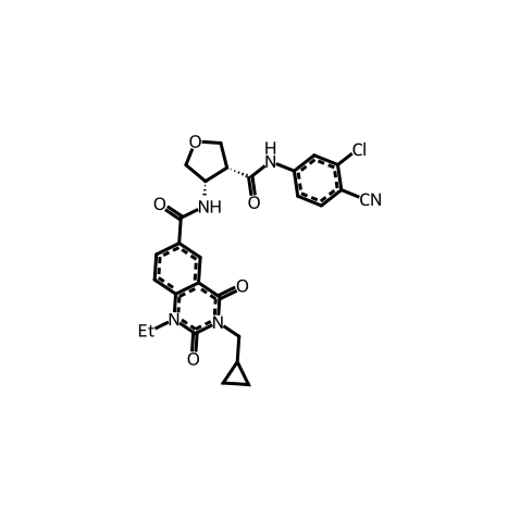 CCn1c(=O)n(CC2CC2)c(=O)c2cc(C(=O)N[C@@H]3COC[C@@H]3C(=O)Nc3ccc(C#N)c(Cl)c3)ccc21